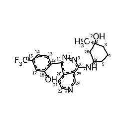 C[C@]1(O)CCC[C@@H](Nc2nnc(-c3ccc(C(F)(F)F)cc3O)c3ccncc23)C1